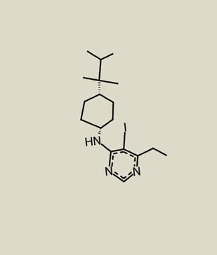 CCc1ncnc(N[C@H]2CC[C@@H](C(C)(C)C(C)C)CC2)c1I